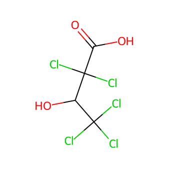 O=C(O)C(Cl)(Cl)C(O)C(Cl)(Cl)Cl